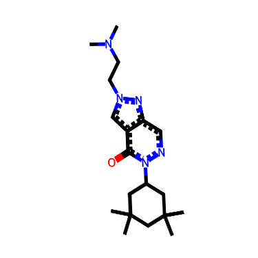 CN(C)CCn1cc2c(=O)n(C3CC(C)(C)CC(C)(C)C3)ncc2n1